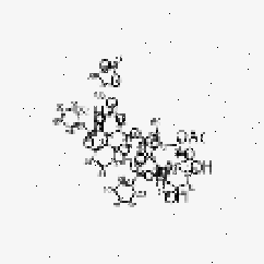 CC(=O)O[C@H]1C(=O)[C@@]2(C)[C@H]([C@@H]3CO[C@H]3C[C@@H]2O)[C@H](OC(=O)c2ccccc2)[C@]2(O)C[C@H](OC(=O)[C@@H](OC(=O)OCC3COC(C)O3)[C@@H](NC(=O)c3ccccc3)c3ccccc3)C(C)=C1C2(C)C